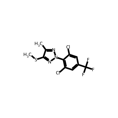 CSc1nn(-c2c(Cl)cc(C(F)(F)F)cc2Cl)nc1C